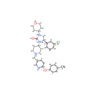 N#Cc1ccc(Oc2ccc(CN3CCC(N4C(=O)N(C5CCOCC5)C[C@H]4c4cccc(Cl)c4)CC3)cn2)cc1